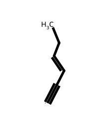 [C]#CC=CCC